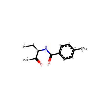 COC(=O)[C@@H](CC(C)C)NC(=O)c1ccc(SC)cc1